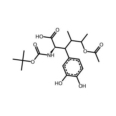 CC(=O)OC(C)C(C)C(c1ccc(O)c(O)c1)[C@@H](NC(=O)OC(C)(C)C)C(=O)O